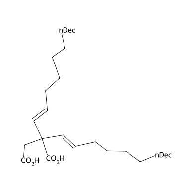 CCCCCCCCCCCCCCC=CC(C=CCCCCCCCCCCCCCC)(CC(=O)O)C(=O)O